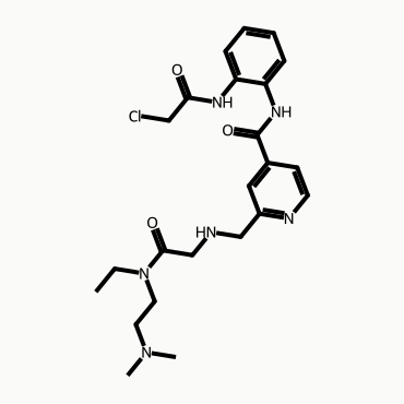 CCN(CCN(C)C)C(=O)CNCc1cc(C(=O)Nc2ccccc2NC(=O)CCl)ccn1